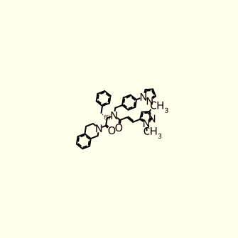 Cc1cc(C=CC(=O)N(Cc2ccc(-n3cccn3)cc2)[C@@H](Cc2ccccc2)C(=O)N2CCc3ccccc3C2)n(C)n1